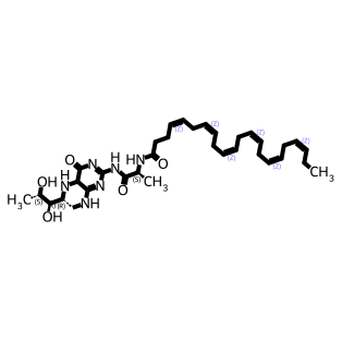 CC/C=C\C/C=C\C/C=C\C/C=C\C/C=C\C/C=C\CCC(=O)N[C@@H](C)C(=O)NC1=NC(=O)C2N[C@@H]([C@@H](O)[C@H](C)O)CNC2=N1